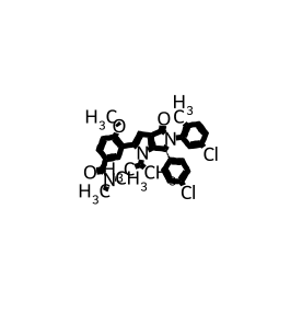 COc1ccc(C(=O)N(C)C)cc1-c1cc2c(n1C(C)C)[C@@H](c1ccc(Cl)cc1)N(c1cc(Cl)ccc1C)C2=O